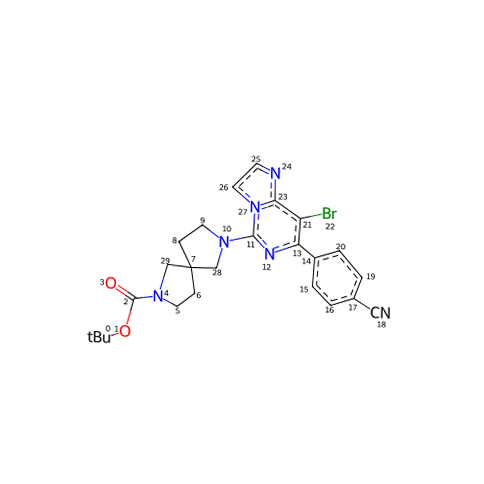 CC(C)(C)OC(=O)N1CCC2(CCN(c3nc(-c4ccc(C#N)cc4)c(Br)c4nccn34)C2)C1